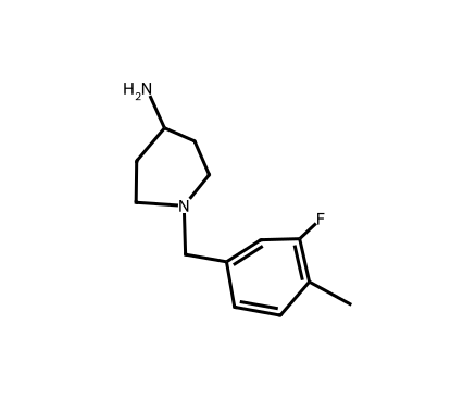 Cc1ccc(CN2CCC(N)CC2)cc1F